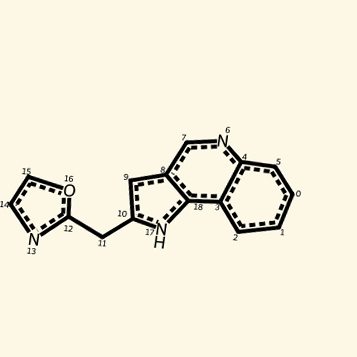 c1ccc2c(c1)ncc1cc(Cc3ncco3)[nH]c12